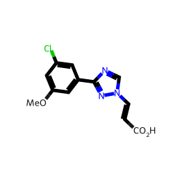 COc1cc(Cl)cc(-c2ncn(C=CC(=O)O)n2)c1